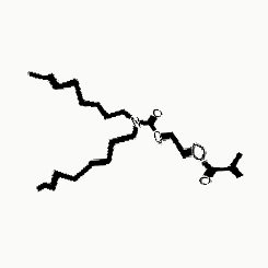 C=C(C)C(=O)OCCOC(=O)N(CCCCCCCC)CCCCCCCC